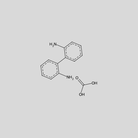 Nc1ccccc1-c1ccccc1N.O=C(O)O